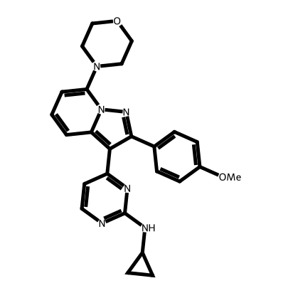 COc1ccc(-c2nn3c(N4CCOCC4)cccc3c2-c2ccnc(NC3CC3)n2)cc1